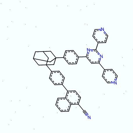 N#Cc1ccc(-c2ccc(C34CC5CC(CC(c6ccc(-c7cc(-c8ccncc8)nc(-c8ccncc8)n7)cc6)(C5)C3)C4)cc2)c2ccccc12